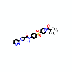 CC(C)C(=O)N1CCC(S(=O)(=O)c2ccc(NC(=O)C3CN(c4cccnn4)C3)cc2)CC1